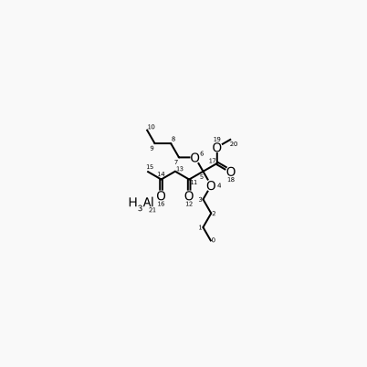 CCCCOC(OCCCC)(C(=O)CC(C)=O)C(=O)OC.[AlH3]